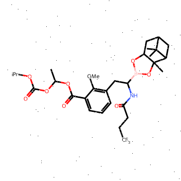 COc1c(CC(NC(=O)CCC(F)(F)F)B2OC3CC4CC(C4(C)C)C3(C)O2)cccc1C(=O)OC(C)OC(=O)OC(C)C